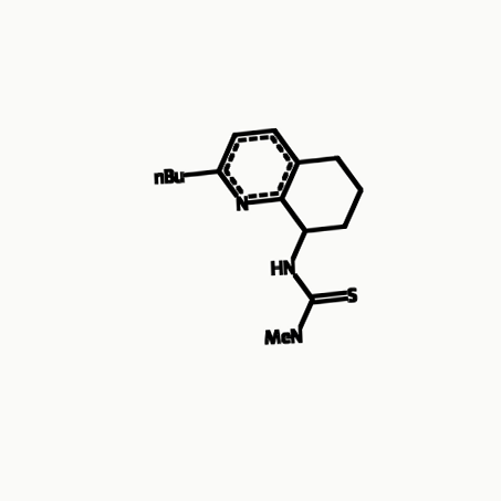 CCCCc1ccc2c(n1)C(NC(=S)NC)CCC2